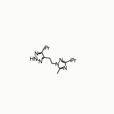 Cc1nc(C(C)C)nn1CCc1n[nH]nc1C(C)C